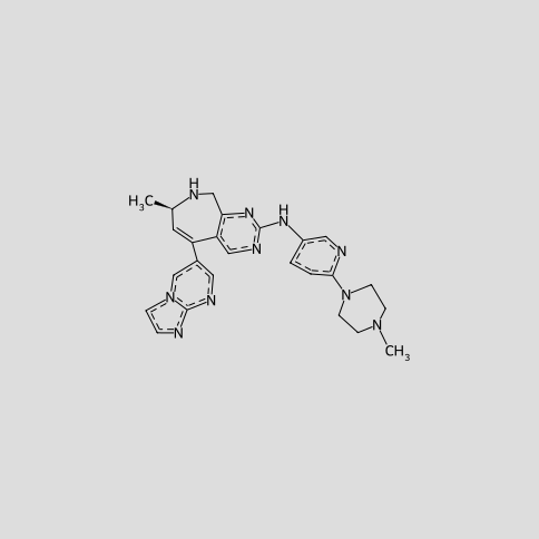 C[C@@H]1C=C(c2cnc3nccn3c2)c2cnc(Nc3ccc(N4CCN(C)CC4)nc3)nc2CN1